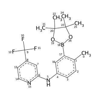 Cc1ccc(Nc2cc(C(F)(F)F)ccn2)cc1B1OC(C)(C)C(C)(C)O1